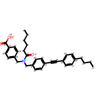 CCCCCC(=O)N(Cc1ccc(C#Cc2ccc(CCCC)cc2)cc1)Cc1ccc(C(=O)O)cc1